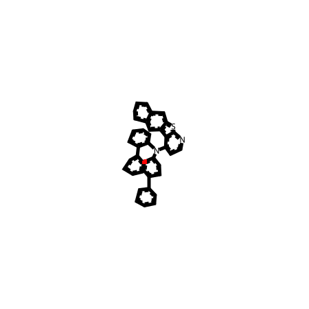 c1ccc(-c2ccc(N(c3ccccc3-c3ccccc3)c3ccnc4sc5cc6ccccc6cc5c34)cc2)cc1